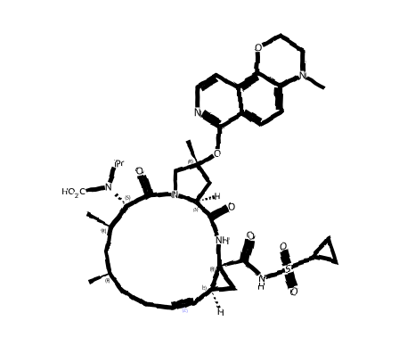 CC(C)N(C(=O)O)[C@@H]1C(=O)N2C[C@](C)(Oc3nccc4c5c(ccc34)N(C)CCO5)C[C@H]2C(=O)N[C@]2(C(=O)NS(=O)(=O)C3CC3)C[C@H]2/C=C\CC[C@@H](C)C[C@H]1C